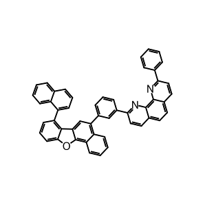 c1ccc(-c2ccc3ccc4ccc(-c5cccc(-c6cc7c(oc8cccc(-c9cccc%10ccccc9%10)c87)c7ccccc67)c5)nc4c3n2)cc1